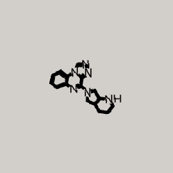 c1ccc2c(c1)nc(N1CC3CCCNC3C1)c1nncn12